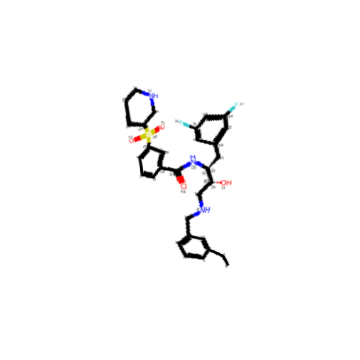 CCc1cccc(CNC[C@@H](O)[C@H](Cc2cc(F)cc(F)c2)NC(=O)c2cccc(S(=O)(=O)C3CCCNC3)c2)c1